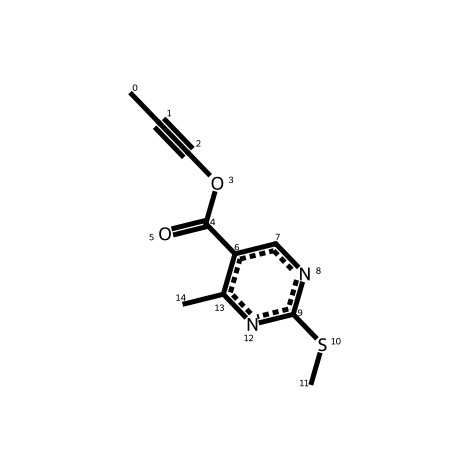 CC#COC(=O)c1cnc(SC)nc1C